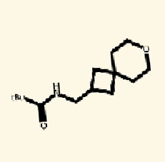 CC(C)(C)C(=O)NCC1CC2(CCOCC2)C1